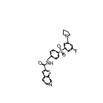 O=C(NCc1ccc(S(=O)(=O)c2cc(F)cc(N3CCCC3)c2)cc1)c1cc2ccncc2s1